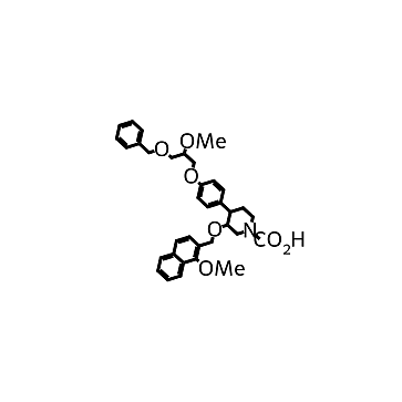 COc1c(COC2CN(C(=O)O)CCC2c2ccc(OCC(COCc3ccccc3)OC)cc2)ccc2ccccc12